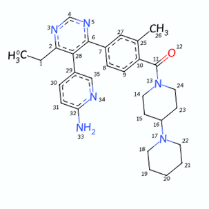 CCc1ncnc(-c2ccc(C(=O)N3CCC(N4CCCCC4)CC3)c(C)c2)c1-c1ccc(N)nc1